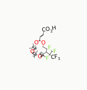 C[Si](C)(C)O[Si](C)(C)O[Si](C)(C)C(CCOC(=O)C=CC(=O)O)C(F)(C(F)F)C(F)(F)F